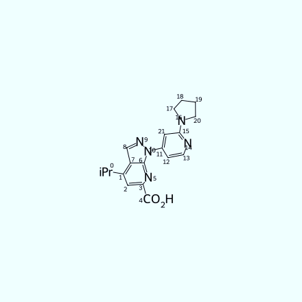 CC(C)c1cc(C(=O)O)nc2c1cnn2-c1ccnc(N2CCCC2)c1